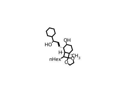 CCCCCCC1[C@H]2[C@H](/C=C/[C@@H](O)C3CCCCC3)[C@@H](O)CC[C@@]2(C)C12OCCO2